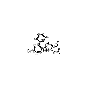 COC(=O)C(CC(C)C)NC(=O)c1ccc(Br)cc1-c1ccccc1